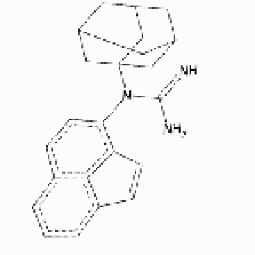 N=C(N)N(c1ccc2cccc3c2c1C=C3)C12CC3CC(CC(C3)C1)C2